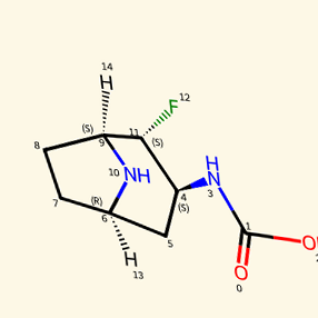 O=C(O)N[C@H]1C[C@H]2CC[C@H](N2)[C@@H]1F